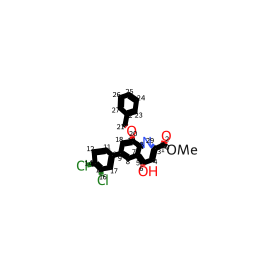 COC(=O)c1cc(O)c2cc(-c3ccc(Cl)c(Cl)c3)cc(OCc3ccccc3)c2n1